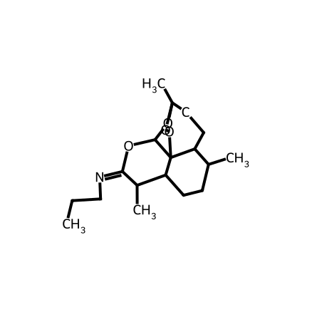 CCC/N=C1/OC2OC3(C)CCC4C(C)CCC(C1C)C24OO3